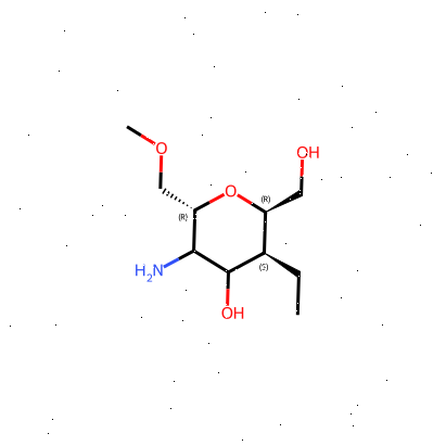 CC[C@H]1C(O)C(N)[C@H](COC)O[C@H]1CO